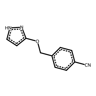 N#Cc1ccc(COc2cc[nH]n2)cc1